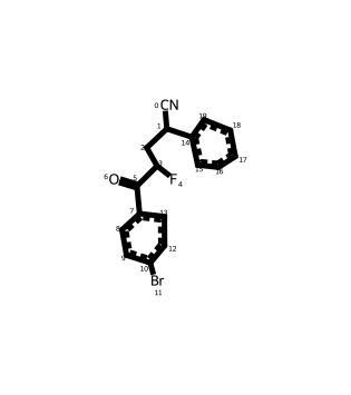 N#CC(CC(F)C(=O)c1ccc(Br)cc1)c1ccccc1